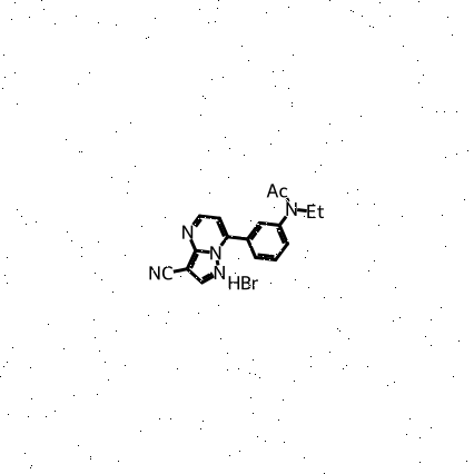 Br.CCN(C(C)=O)c1cccc(-c2ccnc3c(C#N)cnn23)c1